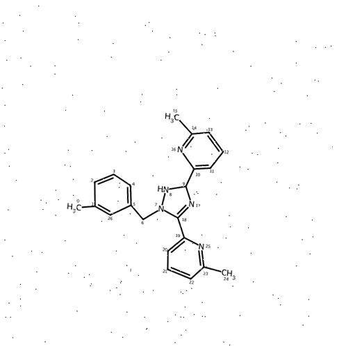 Cc1cccc(CN2NC(c3cccc(C)n3)N=C2c2cccc(C)n2)c1